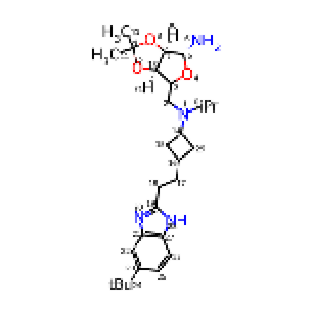 CC(C)N(CC1O[C@@H](N)[C@@H]2OC(C)(C)O[C@H]12)C1CC(CCc2nc3cc(C(C)(C)C)ccc3[nH]2)C1